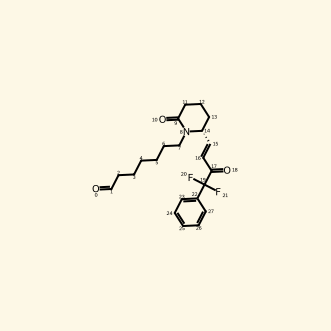 O=CCCCCCCN1C(=O)CCC[C@@H]1/C=C/C(=O)C(F)(F)c1ccccc1